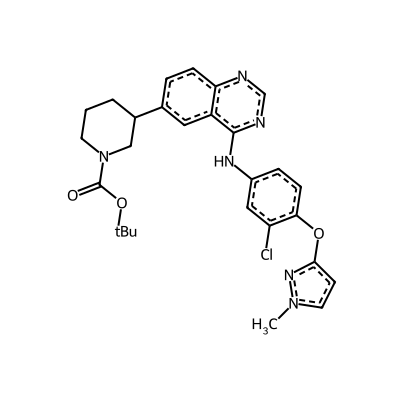 Cn1ccc(Oc2ccc(Nc3ncnc4ccc(C5CCCN(C(=O)OC(C)(C)C)C5)cc34)cc2Cl)n1